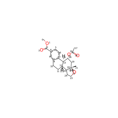 COC(=O)c1ccc2c(c1)CC[C@@H]1[C@@H]2[C@H](OC(C)=O)C[C@]2(C)OCC[C@@H]12